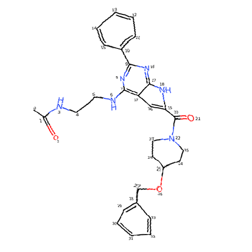 CC(=O)NCCNc1nc(-c2ccccc2)nc2[nH]c(C(=O)N3CCC(OCc4ccccc4)CC3)cc12